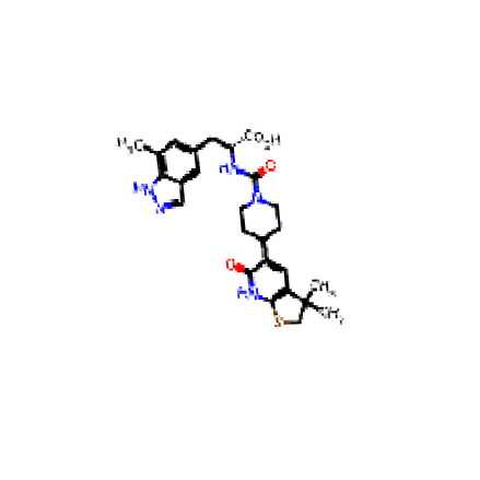 Cc1cc(C[C@@H](NC(=O)N2CCC(c3cc4c([nH]c3=O)SCC4(C)C)CC2)C(=O)O)cc2cn[nH]c12